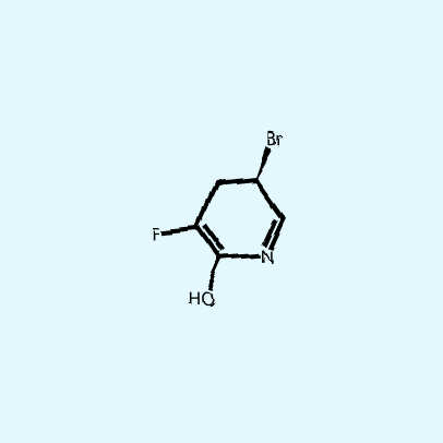 OC1=C(F)C[C@@H](Br)C=N1